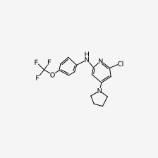 FC(F)(F)Oc1ccc(Nc2cc(N3CCCC3)cc(Cl)n2)cc1